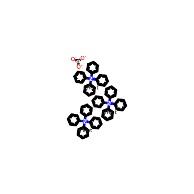 CCCCCCCc1ccccc1[N+](c1ccccc1)(c1ccccc1)c1ccccc1.CCCCCCCc1ccccc1[N+](c1ccccc1)(c1ccccc1)c1ccccc1.CCCCCCCc1ccccc1[N+](c1ccccc1)(c1ccccc1)c1ccccc1.[O-]B([O-])[O-]